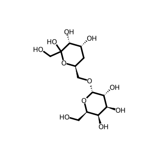 OC[C@H]1O[C@H](OC[C@@H]2C[C@@H](O)[C@@H](O)C(O)(CO)O2)[C@H](O)[C@@H](O)[C@H]1O